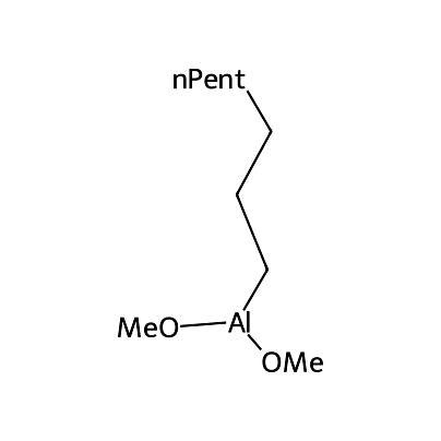 CCCCCCC[CH2][Al]([O]C)[O]C